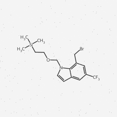 C[Si](C)(C)CCOCn1ccc2cc(C(F)(F)F)cc(CBr)c21